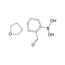 C1CCOC1.O=Cc1ccccc1B(O)O